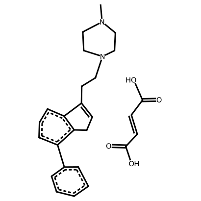 CN1CCN(CCC2=CCc3c2cccc3-c2ccccc2)CC1.O=C(O)C=CC(=O)O